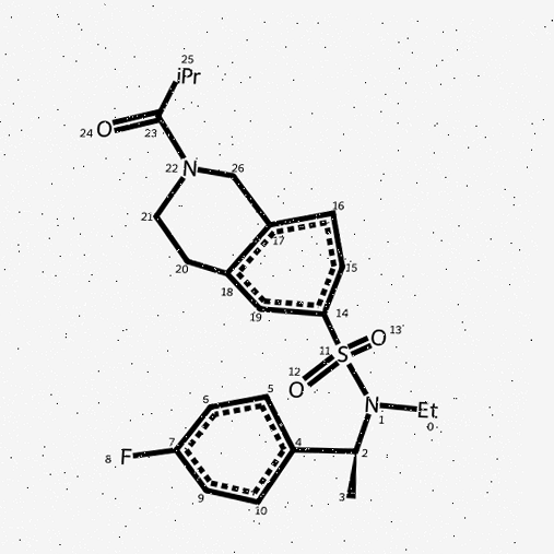 CCN([C@@H](C)c1ccc(F)cc1)S(=O)(=O)c1ccc2c(c1)CCN(C(=O)C(C)C)C2